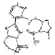 CC1CCC(COc2cnccc2-c2cc3c([nH]2)CCNC3=O)N1C(=O)O